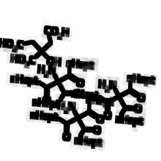 CCCCCCCC(=O)C(N)(C(=O)CCCCCCC)C(=O)CCCCCCC.CCCCCCCC(=O)C(N)(C(=O)CCCCCCC)C(=O)CCCCCCC.CCCCCCCC(=O)C(N)(C(=O)CCCCCCC)C(=O)CCCCCCC.O=C(O)CC(O)(CC(=O)O)C(=O)O